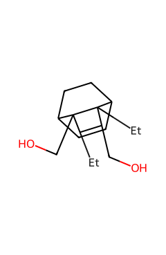 CCC1(CO)C2C=CC(CC2)C1(CC)CO